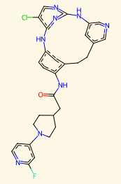 O=C(CC1CCN(c2ccnc(F)c2)CC1)Nc1ccc2cc1CCc1cncc(c1)Nc1ncc(Cl)c(n1)N2